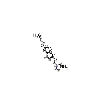 COCCOc1cnc2cc(OC/C(=C/F)CN)ccc2n1